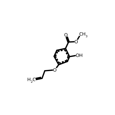 C=CCOc1ccc(C(=O)OC)c(O)c1